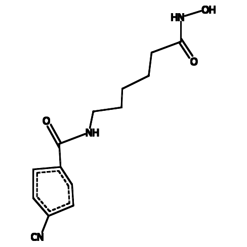 [C-]#[N+]c1ccc(C(=O)NCCCCCC(=O)NO)cc1